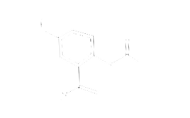 NC(=O)c1cc(OC(F)(F)F)ccc1NC(=O)C(=O)O